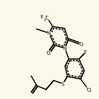 C=C(C)CCSc1cc(-n2c(=O)cc(C(F)(F)F)n(C)c2=O)c(F)cc1Cl